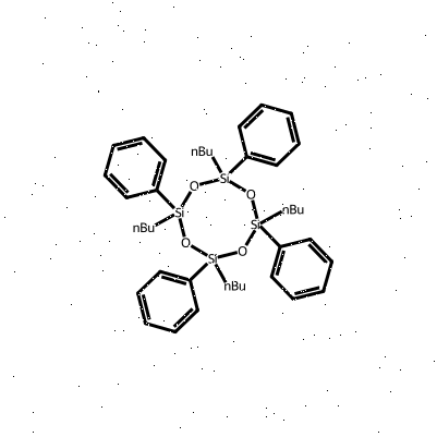 CCCC[Si]1(c2ccccc2)O[Si](CCCC)(c2ccccc2)O[Si](CCCC)(c2ccccc2)O[Si](CCCC)(c2ccccc2)O1